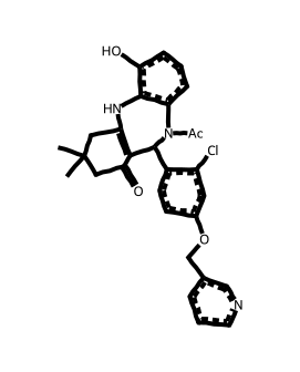 CC(=O)N1c2cccc(O)c2NC2=C(C(=O)CC(C)(C)C2)C1c1ccc(OCc2cccnc2)cc1Cl